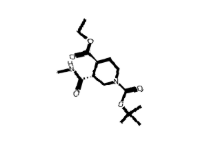 CCOC(=O)[C@H]1CCN(C(=O)OC(C)(C)C)C[C@@H]1C(=O)NC